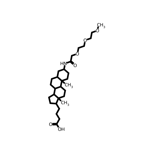 COCCOCCOCC(=O)NC1CCC2(C)C(CCC3C4CCC(CCCC(=O)O)C4(C)CCC32)C1